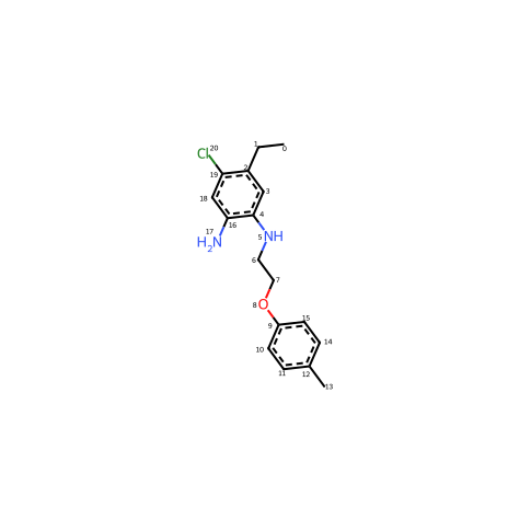 CCc1cc(NCCOc2ccc(C)cc2)c(N)cc1Cl